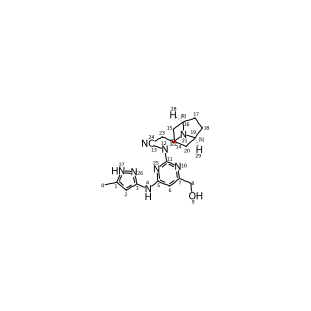 Cc1cc(Nc2cc(CO)nc(N(C)[C@@H]3C[C@H]4CC[C@@H](C3)N4CCC#N)n2)n[nH]1